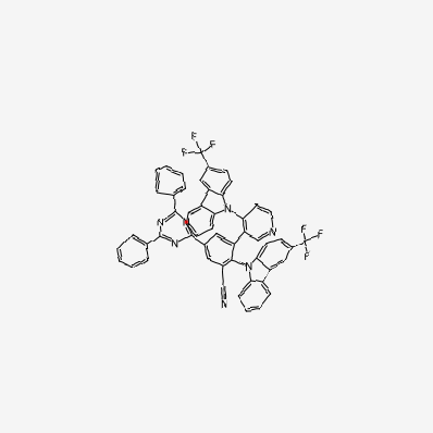 N#Cc1cc(-c2nc(-c3ccccc3)nc(-c3ccccc3)n2)cc(-c2cnccc2-n2c3ccccc3c3cc(C(F)(F)F)ccc32)c1-n1c2ccccc2c2cc(C(F)(F)F)ccc21